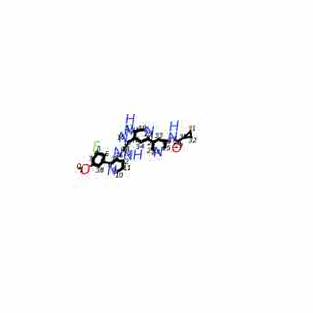 COc1cc(F)cc(-c2nccc3[nH]c(-c4n[nH]c5cnc(-c6cncc(NC(=O)C7CC7)c6)cc45)nc23)c1